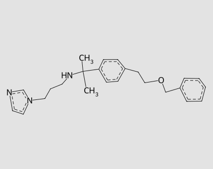 CC(C)(NCCCn1ccnc1)c1ccc(CCOCc2ccccc2)cc1